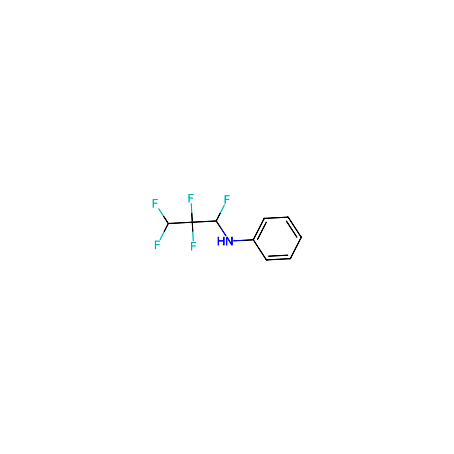 FC(F)C(F)(F)C(F)Nc1ccccc1